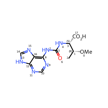 CO[C@H](C)[C@H](NC(=O)Nc1ncnc2[nH]cnc12)C(=O)O